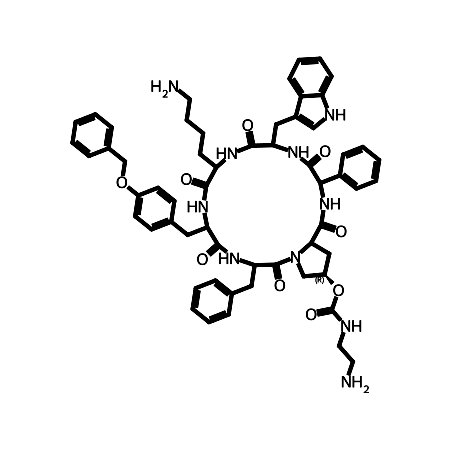 NCCCCC1NC(=O)C(Cc2c[nH]c3ccccc23)NC(=O)C(c2ccccc2)NC(=O)C2C[C@@H](OC(=O)NCCN)CN2C(=O)C(Cc2ccccc2)NC(=O)C(Cc2ccc(OCc3ccccc3)cc2)NC1=O